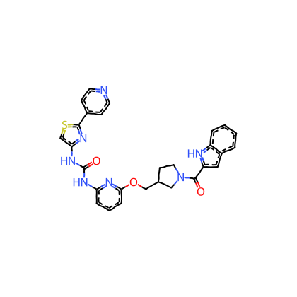 O=C(Nc1cccc(OCC2CCN(C(=O)c3cc4ccccc4[nH]3)C2)n1)Nc1csc(-c2ccncc2)n1